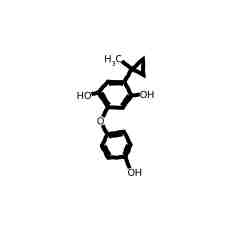 CC1(c2cc(O)c(Oc3ccc(O)cc3)cc2O)CC1